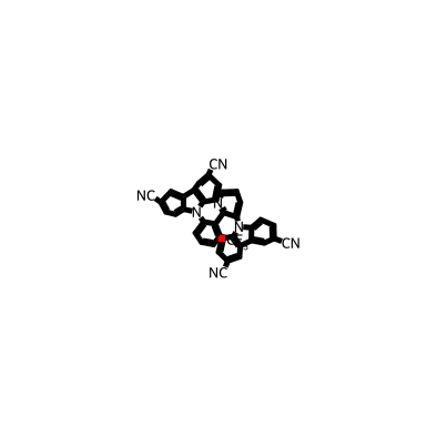 N#Cc1ccc2c(c1)c1cc(C#N)ccc1n2-c1cccnc1-c1c(-n2c3ccc(C#N)cc3c3cc(C#N)ccc32)cccc1C(F)(F)F